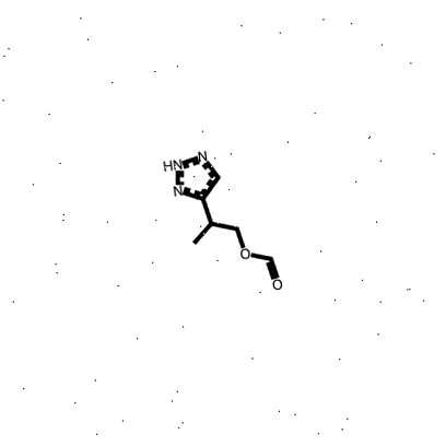 CC(COC=O)c1cn[nH]n1